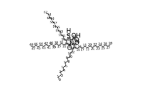 CCCCCCCCCCCCCCC(CCCCCCCCCCCCCC)C(=O)N(C(=O)C(CCCCCCCCCCCCCC)CCCCCCCCCCCCCC)C(CS)C(=O)O